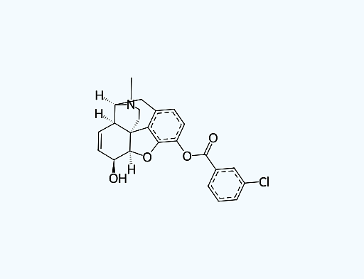 CN1CC[C@]23c4c5ccc(OC(=O)c6cccc(Cl)c6)c4O[C@H]2[C@@H](O)C=C[C@H]3[C@H]1C5